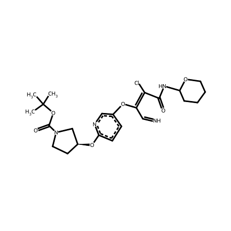 CC(C)(C)OC(=O)N1CC[C@H](Oc2ccc(O/C(C=N)=C(\Cl)C(=O)NC3CCCCO3)cn2)C1